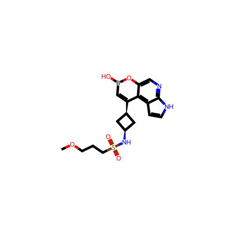 COCCCS(=O)(=O)N[C@H]1C[C@@H](C2=CB(O)Oc3cnc4[nH]ccc4c32)C1